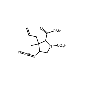 C=CCC1(C)C(N=[N+]=[N-])CN(C(=O)O)C1C(=O)OC